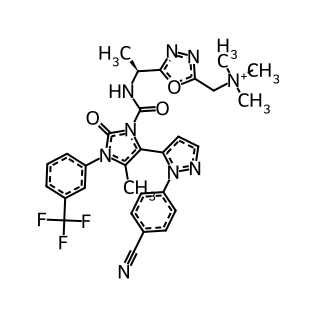 Cc1c(-c2ccnn2-c2ccc(C#N)cc2)n(C(=O)N[C@@H](C)c2nnc(C[N+](C)(C)C)o2)c(=O)n1-c1cccc(C(F)(F)F)c1